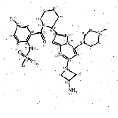 CN1CCN(c2cc(N3CC(N)C3)nc3cc([C@@H]4CCCCN4C(=O)c4cc(Cl)ccc4NS(C)(=O)=O)nn23)CC1